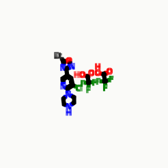 CCc1nc(-c2cnc(N3CCNCC3)c(Cl)c2)no1.O=C(O)C(F)(F)F.O=C(O)C(F)(F)F